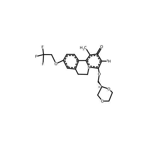 [2H]c1c(OC[C@@H]2COCCO2)n2c(c(C)c1=O)-c1ccc(OCC(F)(F)F)cc1CC2